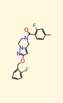 Cc1ccc(C(=O)N2CCn3nc(OCc4ccccc4F)cc3C2)c(F)c1